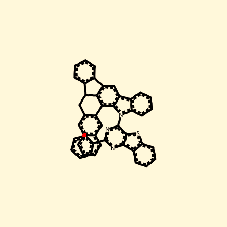 c1ccc(-c2nc(-n3c4ccccc4c4cc5c6c(c43)-c3cc4ccccc4cc3CC6c3ccccc3-5)c3sc4ccccc4c3n2)cc1